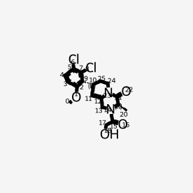 COc1ccc(Cl)c(Cl)c1[C@H]1C=C2CN(C(=O)CO)[C@H](C)C(=O)N2CC1